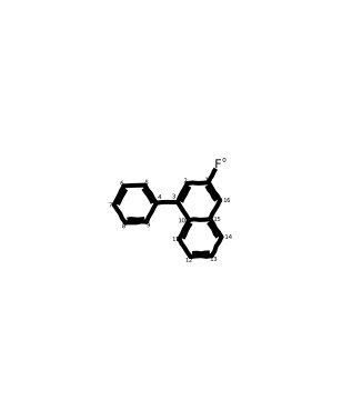 Fc1cc(-c2ccccc2)c2ccccc2c1